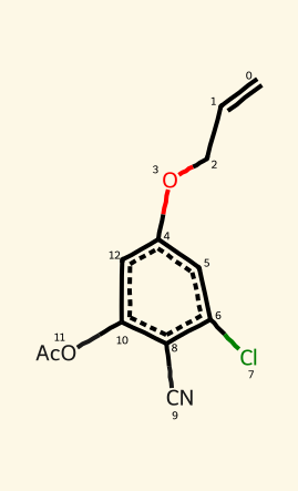 C=CCOc1cc(Cl)c(C#N)c(OC(C)=O)c1